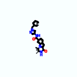 C[C@@H]1[C@@H](C)NC(=O)c2cc3ccc(C(=O)Nc4cnn(Cc5ccccc5)c4)cc3n21